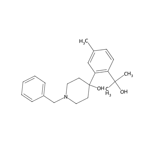 Cc1ccc(C(C)(C)O)c(C2(O)CCN(Cc3ccccc3)CC2)c1